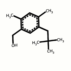 Cc1cc(C)c(CC(C)(C)C)cc1CO